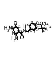 C[C@@H](Oc1ccc(CNC(=O)c2cc(Cl)c(N)nc2N)cc1)C(F)(F)F